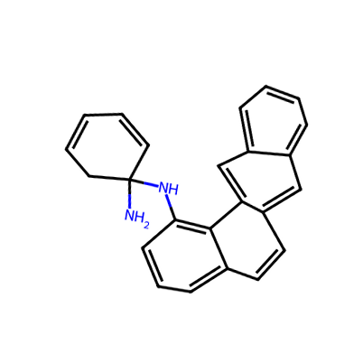 NC1(Nc2cccc3ccc4cc5ccccc5cc4c23)C=CC=CC1